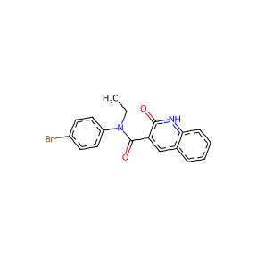 CCN(C(=O)c1cc2ccccc2[nH]c1=O)c1ccc(Br)cc1